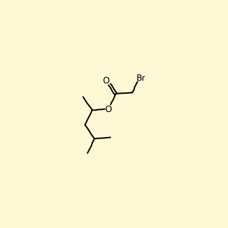 CC(C)CC(C)OC(=O)CBr